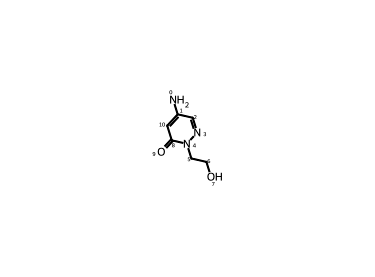 Nc1cnn(CCO)c(=O)c1